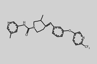 Cc1cncc(NC(=O)N2CC/C(=C\c3cccc(Oc4ccc(C(F)(F)F)nc4)c3)C(C)C2)c1